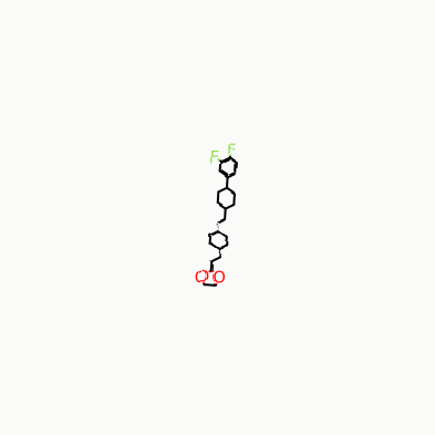 Fc1ccc(C2CCC(CC[C@H]3CC[C@H](CCC4OCCO4)CC3)CC2)cc1F